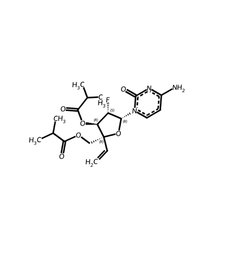 C=C[C@]1(COC(=O)C(C)C)O[C@@H](n2ccc(N)nc2=O)[C@@H](F)[C@@H]1OC(=O)C(C)C